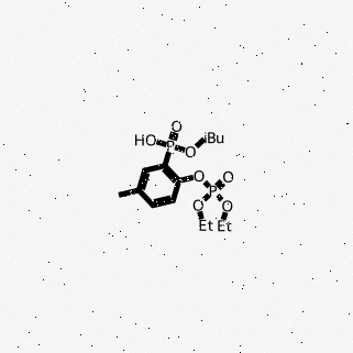 CCOP(=O)(OCC)Oc1ccc(C)cc1P(=O)(O)OC(C)CC